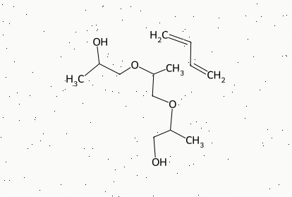 C=CC=C.CC(O)COC(C)COC(C)CO